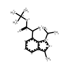 Cc1nn(C(C)C)c2c(C(Br)C(=O)OC(C)(C)C)cccc12